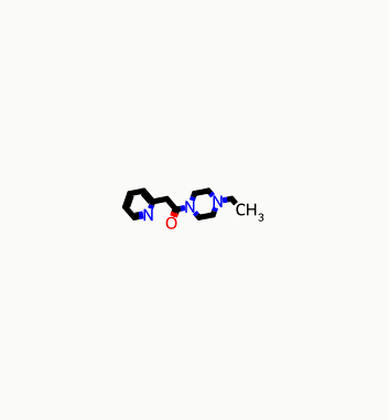 CCN1CCN(C(=O)Cc2ccccn2)CC1